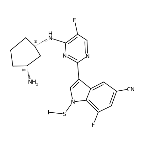 N#Cc1cc(F)c2c(c1)c(-c1ncc(F)c(N[C@H]3CCC[C@@H](N)C3)n1)cn2SI